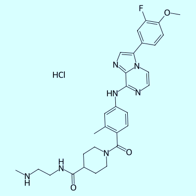 CNCCNC(=O)C1CCN(C(=O)c2ccc(Nc3nccn4c(-c5ccc(OC)c(F)c5)cnc34)cc2C)CC1.Cl